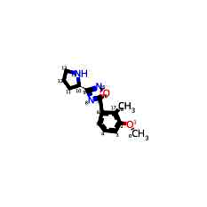 COc1cccc(-c2nc([C@@H]3CCCN3)no2)c1C